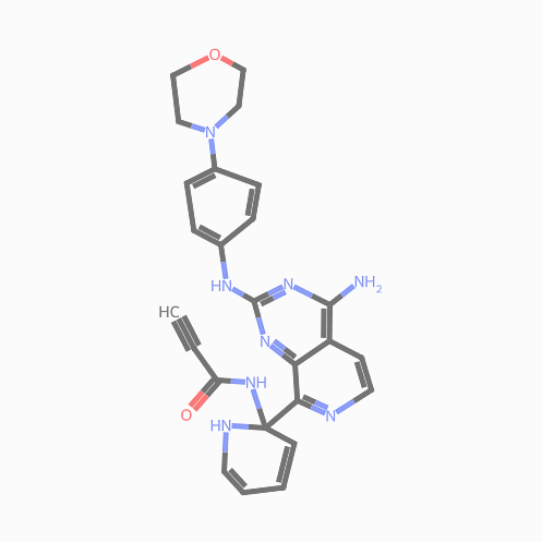 C#CC(=O)NC1(c2nccc3c(N)nc(Nc4ccc(N5CCOCC5)cc4)nc23)C=CC=CN1